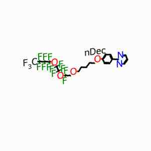 CCCCCCCCCCc1cc(-c2ncccn2)ccc1OCCCCCOCC(F)(F)OC(F)(F)C(F)(F)OC(F)(F)C(F)(F)C(F)(F)C(F)(F)F